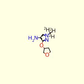 [2H]C([2H])([2H])n1cc(N)c(OC2CCOC2)n1